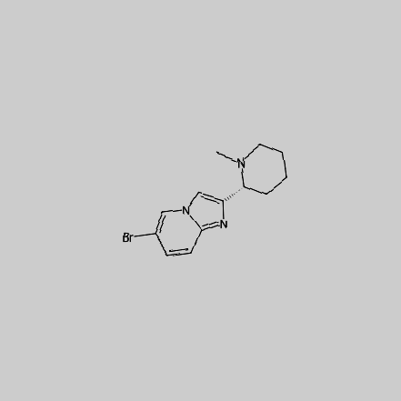 CN1CCCC[C@@H]1c1cn2cc(Br)ccc2n1